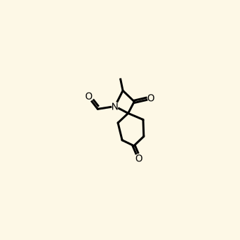 CC1C(=O)C2(CCC(=O)CC2)N1C=O